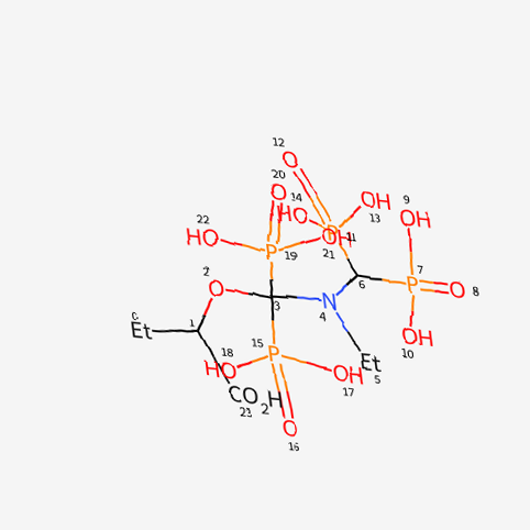 CCC(OC(N(CC)C(P(=O)(O)O)P(=O)(O)O)(P(=O)(O)O)P(=O)(O)O)C(=O)O